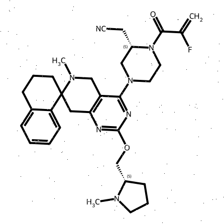 C=C(F)C(=O)N1CCN(c2nc(OC[C@@H]3CCCN3C)nc3c2CN(C)C2(CCCc4ccccc42)C3)C[C@@H]1CC#N